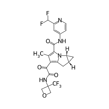 Cc1c(C(=O)C(=O)NC2(C(F)(F)F)COC2)c2n(c1C(=O)Nc1ccnc(C(F)F)c1)[C@@H]1C[C@@H]1C2